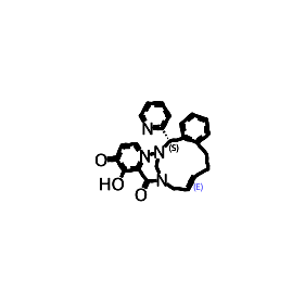 O=C1c2c(O)c(=O)ccn2N2CN1C/C=C/CCc1ccccc1[C@H]2c1ccccn1